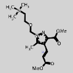 COC(=O)/C=C/c1c(C(=O)OC)nn(COCC[Si](C)(C)C)c1C